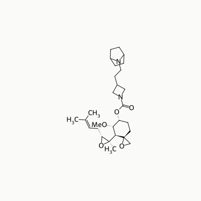 CO[C@@H]1[C@H](OC(=O)N2CC(CCN3C4CCC3CC4)C2)CC[C@]2(CO2)[C@H]1[C@@]1(C)O[C@@H]1CC=C(C)C